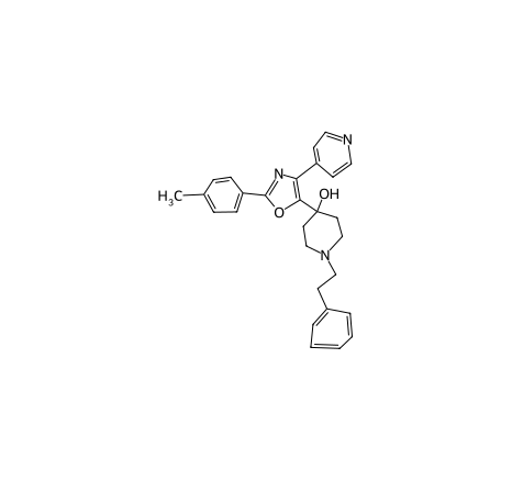 Cc1ccc(-c2nc(-c3ccncc3)c(C3(O)CCN(CCc4ccccc4)CC3)o2)cc1